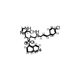 Cc1[nH]cnc1CN(CCNCC=Cc1ccc(Cl)cc1)S(=O)(=O)c1cccc2cnccc12